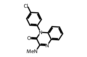 CNc1nc2ccccc2n(-c2ccc(Cl)cc2)c1=O